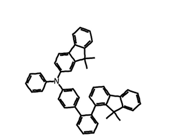 CC1(C)c2ccccc2-c2ccc(N(c3ccccc3)c3ccc(-c4ccccc4-c4cccc5c4C(C)(C)c4ccccc4-5)cc3)cc21